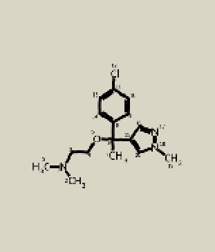 CN(C)CCOC(C)(c1ccc(Cl)cc1)c1cnn(C)c1